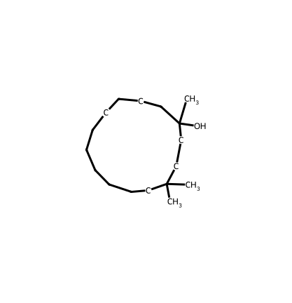 CC1(C)CCCCCCCCCCC(C)(O)CC1